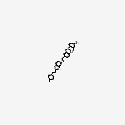 Cc1ccc(/C=C/c2nc3ccc(/N=C/c4ccc5c(c4)CN4CN5Cc5cc(Br)ccc54)cc3s2)cc1